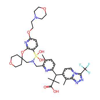 Cc1ccc(C(c2ccn3c(C(F)(F)F)nnc3c2C)C(C)(C)C(=O)O)nc1CN1CC2(CCOCC2)Oc2nc(OCCN3CCOCC3)ccc2S1(O)O